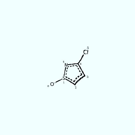 [O-][s+]1ccc(Cl)n1